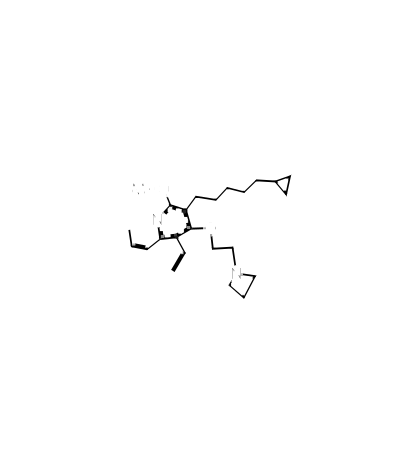 C=Cc1c(/C=C\C)nc(OC)c(CCCCCC2CC2)c1OCCN1CCC1